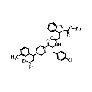 CCN(CC)CC(c1cccc(C)c1)N1CCN(C(=O)[C@@H](Cc2ccc(Cl)cc2)NC(=O)CC2c3ccccc3CN2C(=O)OC(C)(C)C)CC1